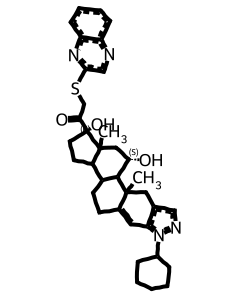 CC12Cc3cnn(C4CCCCC4)c3C=C1CCC1C2[C@@H](O)CC2(C)C1CC[C@]2(O)C(=O)CSc1cnc2ccccc2n1